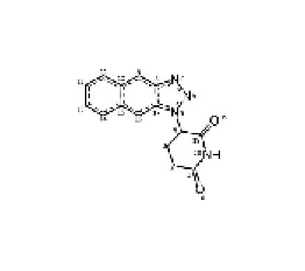 O=C1CCC(n2nnc3cc4ccccc4cc32)C(=O)N1